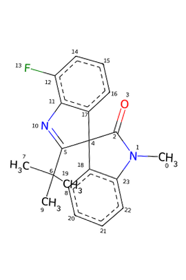 CN1C(=O)C2(C(C(C)(C)C)=Nc3c(F)cccc32)c2ccccc21